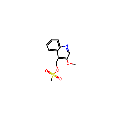 COc1cnc2ccccc2c1COS(C)(=O)=O